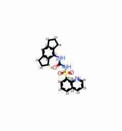 O=C(Nc1c2c(cc3c1CCC3)CCC2)NS(=O)(=O)c1cccc2cccnc12